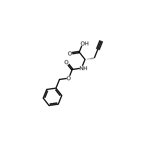 C#CC[C@H](NC(=O)OCc1ccccc1)C(=O)O